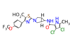 Cc1[nH]c(C(=O)NC2[C@H]3CN(c4nc(-c5ccc(OC(F)(F)F)cc5)c(C(=O)O)s4)C[C@@H]23)c(Cl)c1Cl